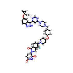 CC1(Oc2ccc3n[nH]c(-c4cc(N5CCN(C[C@H]6CC[C@H](OC7CCN(c8ccc9c(c8F)CN(C8CCC(=O)NC8=O)C9=O)CC7)CC6)CC5)ncn4)c3c2)CC1